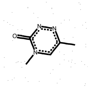 Cc1cn(C)c(=O)nn1